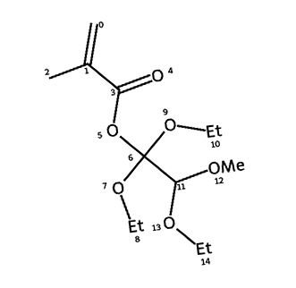 C=C(C)C(=O)OC(OCC)(OCC)C(OC)OCC